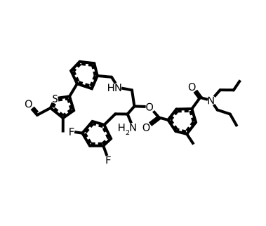 CCCN(CCC)C(=O)c1cc(C)cc(C(=O)OC(CNCc2cccc(-c3cc(C)c(C=O)s3)c2)C(N)Cc2cc(F)cc(F)c2)c1